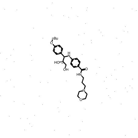 CCCCOc1ccc(C(Nc2ccc(C(=O)NCCCN3CCOCC3)cc2)[C@H](O)CO)cc1